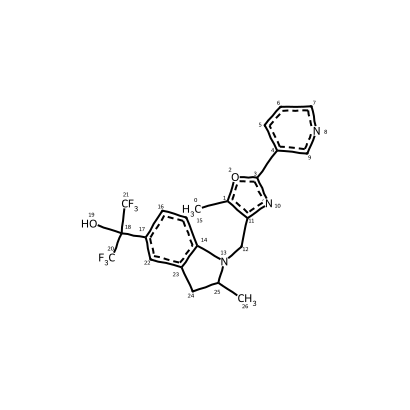 Cc1oc(-c2cccnc2)nc1CN1c2ccc(C(O)(C(F)(F)F)C(F)(F)F)cc2CC1C